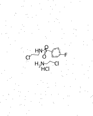 Cl.NCCCl.O=S(=O)(NCCCl)c1ccc(F)cc1